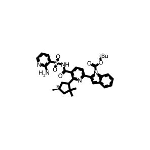 C[C@H]1CC(c2nc(-c3cc4ccccc4n3C(=O)OC(C)(C)C)ccc2C(=O)NS(=O)(=O)c2cccnc2N)C(C)(C)C1